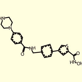 O=C(NCc1ccc(-c2csc(C(=O)NO)c2)cc1)c1ccc(N2CCNCC2)cc1